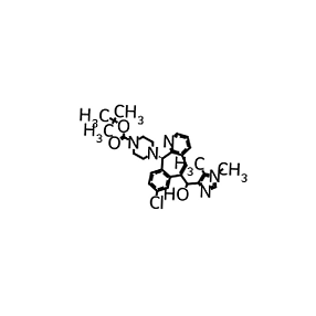 Cc1c(C(O)C2=Cc3cccnc3[C@@H](N3CCN(C(=O)OC(C)(C)C)CC3)c3ccc(Cl)cc32)ncn1C